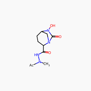 CC(=O)N(C)NC(=O)C1CCC2CN1C(=O)N2O